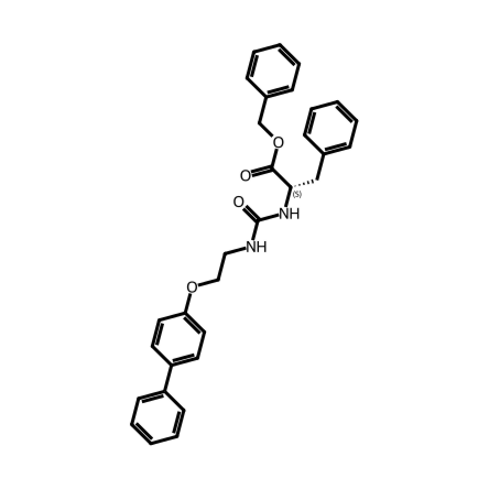 O=C(NCCOc1ccc(-c2ccccc2)cc1)N[C@@H](Cc1ccccc1)C(=O)OCc1ccccc1